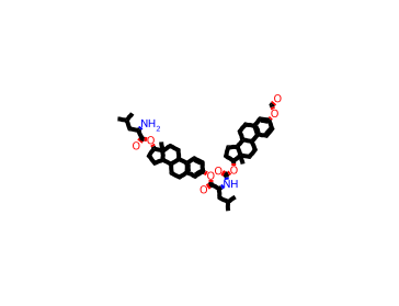 CC(C)CC(N)C(=O)OC1CCC2C3CCc4cc(OC(=O)C(CC(C)C)NC(=O)OC5CCC6C7CCc8cc(OC=O)ccc8C7CCC56C)ccc4C3CCC12C